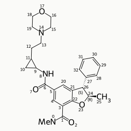 CNC(=O)c1cc(C(=O)NC2CC2CCN2CCOCC2)cc2c1O[C@H](C)[C@H]2c1ccccc1